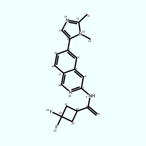 C=C(Nc1cc2cc(-c3cnc(C)n3C)ccc2cn1)C1CC(F)(F)C1